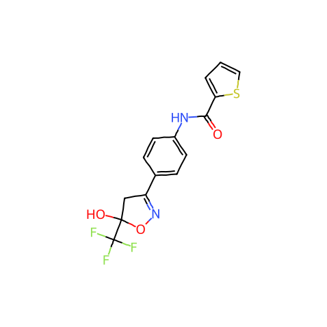 O=C(Nc1ccc(C2=NOC(O)(C(F)(F)F)C2)cc1)c1cccs1